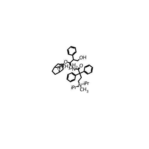 CC(C)[N+](C)(CCC(C(N)=O)(c1ccccc1)c1ccccc1)C(C)C.CC(C)[N+]1(C)C2CCC1CC(OC(=O)C(CO)c1ccccc1)C2